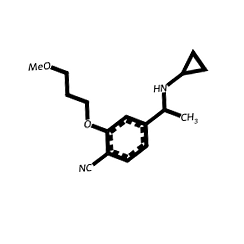 COCCCOc1cc(C(C)NC2CC2)ccc1C#N